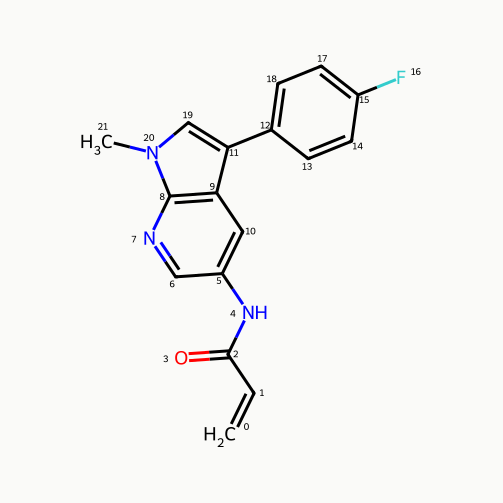 C=CC(=O)Nc1cnc2c(c1)c(-c1ccc(F)cc1)cn2C